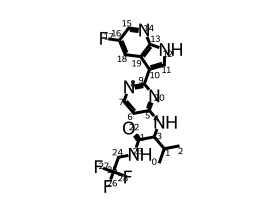 CC(C)C(Nc1ccnc(-c2c[nH]c3ncc(F)cc23)n1)C(=O)NCC(F)(F)F